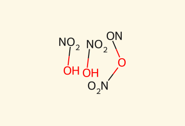 O=NO[N+](=O)[O-].O=[N+]([O-])O.O=[N+]([O-])O